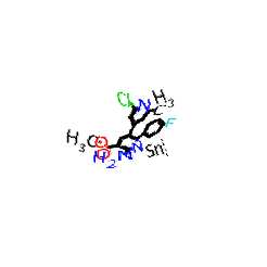 COC(=O)c1cc(-c2cc(C)nc(Cl)c2)c(-c2ccc(F)cc2)nc1N.[Sn]